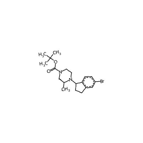 CC1CN(C(=O)OC(C)(C)C)CCN1C1CCc2cc(Br)ccc21